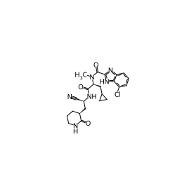 CN(C(=O)c1nc2cccc(Cl)c2[nH]1)[C@@H](CC1CC1)C(=O)N[C@H](C#N)C[C@@H]1CCCNC1=O